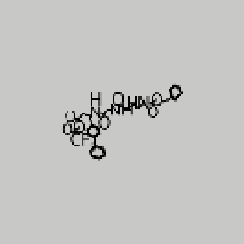 O=C(CCCNC(=O)OCc1ccccc1)NCC(=O)NC(CC(=O)OC(=O)C(F)(F)F)c1ccc(-c2ccccc2)cc1